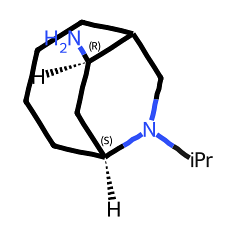 CC(C)N1CC2CCCC[C@H]1C[C@H]2N